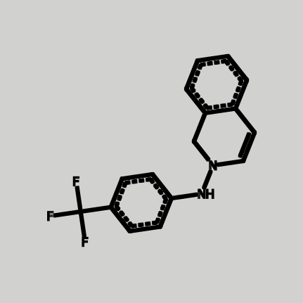 FC(F)(F)c1ccc(NN2C=Cc3ccccc3C2)cc1